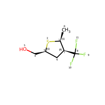 C[C@@H]1S[C@H](CO)C[C@@H]1C(F)(F)F